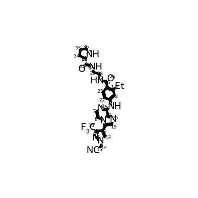 CCc1cc(Nc2nccn3c(-c4cn(CC#N)nc4C(F)(F)F)cnc23)ccc1C(=O)NCCNC(=O)[C@@H]1CCCN1